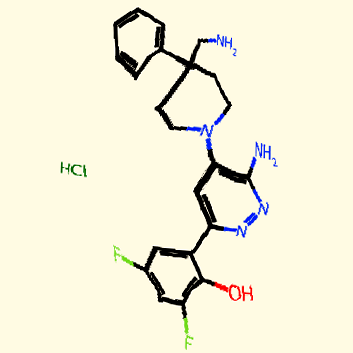 Cl.NCC1(c2ccccc2)CCN(c2cc(-c3cc(F)cc(F)c3O)nnc2N)CC1